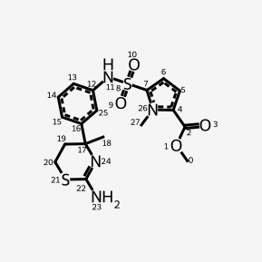 COC(=O)c1ccc(S(=O)(=O)Nc2cccc(C3(C)CCSC(N)=N3)c2)n1C